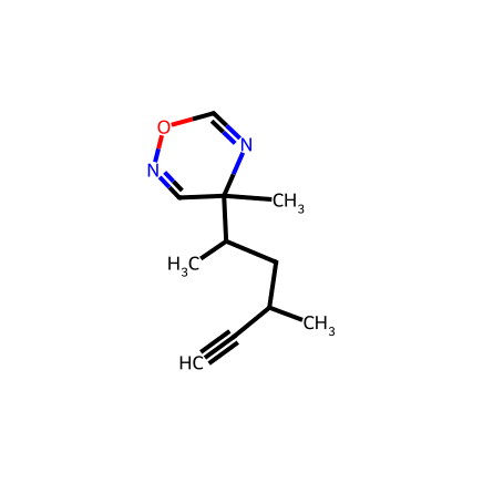 C#CC(C)CC(C)C1(C)C=NOC=N1